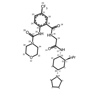 CCC[C@H]1C[C@H](N2CCCC2)CC[C@@H]1NC(=O)CNC(=O)c1cc(C(F)(F)F)ccc1NC(=O)N1CCOCC1